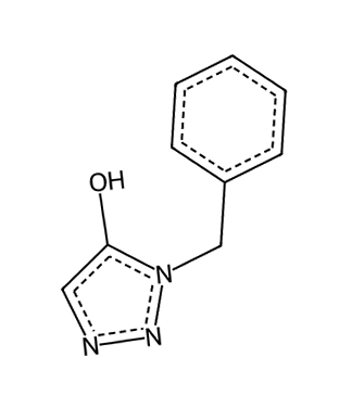 Oc1cnnn1Cc1ccccc1